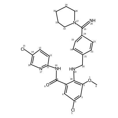 COc1cc(Cl)cc(C(=O)Nc2ccc(Cl)cn2)c1NCc1ccc(C(=N)N2CCCCC2)cc1